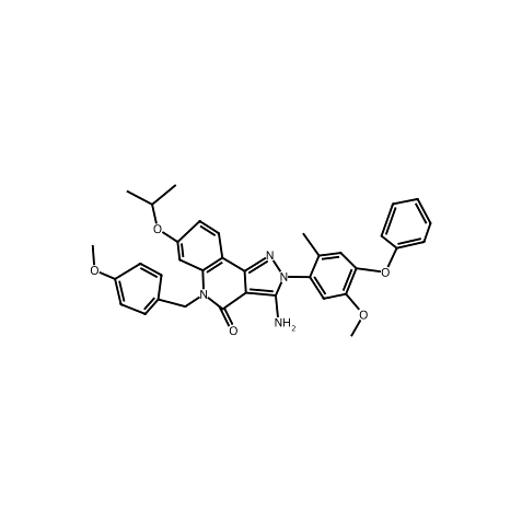 COc1ccc(Cn2c(=O)c3c(N)n(-c4cc(OC)c(Oc5ccccc5)cc4C)nc3c3ccc(OC(C)C)cc32)cc1